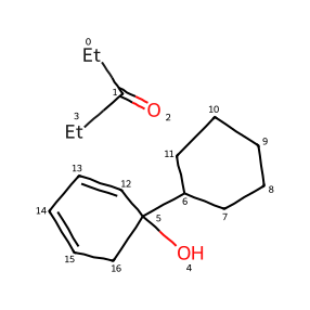 CCC(=O)CC.OC1(C2CCCCC2)C=CC=CC1